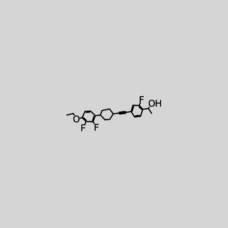 CCOc1ccc(C2CCC(C#Cc3ccc(C(C)O)c(F)c3)CC2)c(F)c1F